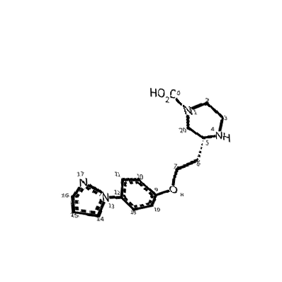 O=C(O)N1CCN[C@H](CCOc2ccc(-n3cccn3)cc2)C1